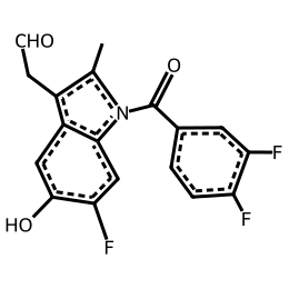 Cc1c(CC=O)c2cc(O)c(F)cc2n1C(=O)c1ccc(F)c(F)c1